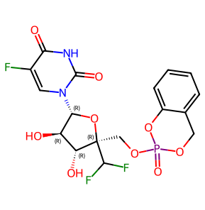 O=c1[nH]c(=O)n([C@@H]2O[C@@](COP3(=O)OCc4ccccc4O3)(C(F)F)[C@H](O)[C@H]2O)cc1F